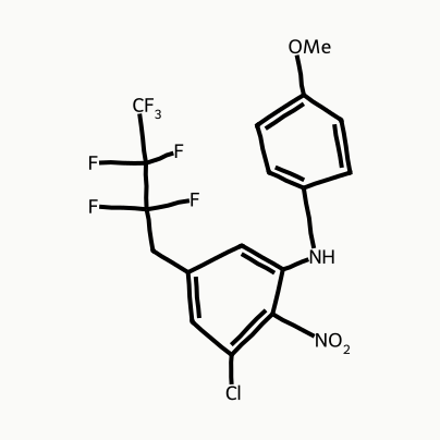 COc1ccc(Nc2cc(CC(F)(F)C(F)(F)C(F)(F)F)cc(Cl)c2[N+](=O)[O-])cc1